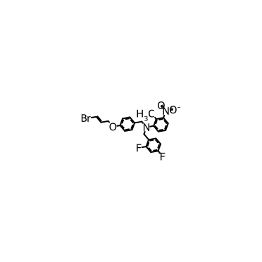 Cc1c(N(Cc2ccc(OC/C=C/Br)cc2)Cc2ccc(F)cc2F)cccc1[N+](=O)[O-]